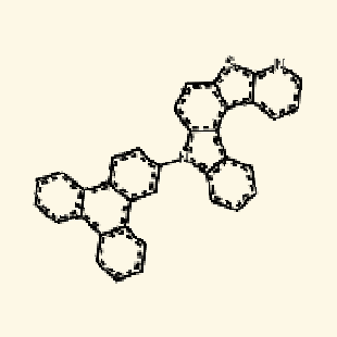 c1ccc2c(c1)c1ccccc1c1cc(-n3c4ccccc4c4c5c(ccc43)sc3ncccc35)ccc21